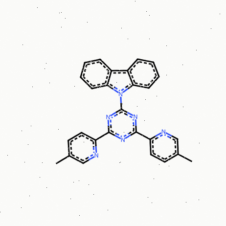 Cc1ccc(-c2nc(-c3ccc(C)cn3)nc(-n3c4ccccc4c4ccccc43)n2)nc1